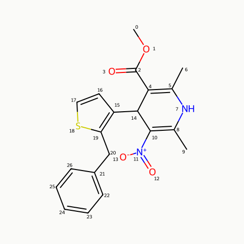 COC(=O)C1=C(C)NC(C)=C([N+](=O)[O-])C1c1ccsc1Cc1ccccc1